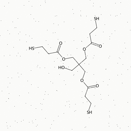 O=C(CCS)OCC(CO)(COC(=O)CCS)COC(=O)CCS